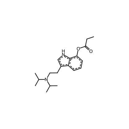 CCC(=O)Oc1cccc2c(CCN(C(C)C)C(C)C)c[nH]c12